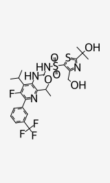 CC(C)c1nc(-c2cccc(C(F)(F)F)c2)c(F)c(C(C)C)c1NC(=O)NS(=O)(=O)c1sc(C(C)(C)O)nc1CO